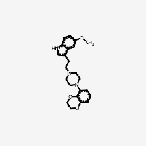 COc1ccc2[nH]cc(CCN3CCN(c4cccc5c4OCCO5)CC3)c2c1